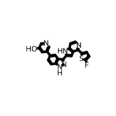 Oc1cncc(-c2ccc3[nH]nc(-c4cc5c(-c6ccc(F)s6)nccc5[nH]4)c3c2)c1